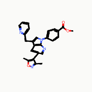 COC(=O)c1ccc(-n2cc(Cc3ccccn3)c3cc(-c4c(C)noc4C)cnc32)cc1